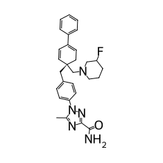 Cc1nc(C(N)=O)nn1-c1ccc(C[C@@]2(CN3CCCC(F)C3)C=CC(c3ccccc3)=CC2)cc1